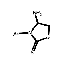 CC(=O)N1C(=S)SCC1N